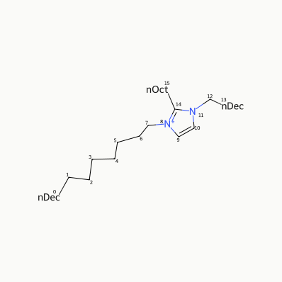 CCCCCCCCCCCCCCCCC[n+]1ccn(CCCCCCCCCCC)c1CCCCCCCC